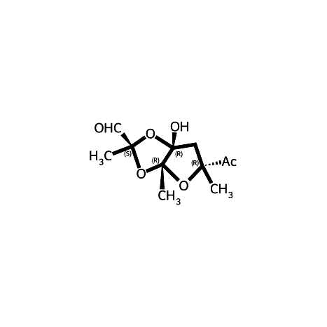 CC(=O)[C@@]1(C)C[C@@]2(O)O[C@](C)(C=O)O[C@@]2(C)O1